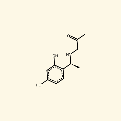 CC(=O)CN[C@@H](C)c1ccc(O)cc1O